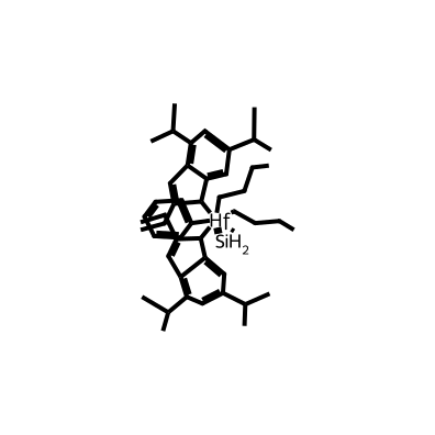 CCC[CH2][Hf]([CH3])(=[SiH2])([CH2]CCC)([c]1ccccc1)([CH]1C(CC)=Cc2c(C(C)C)cc(C(C)C)cc21)[CH]1C(CC)=Cc2c(C(C)C)cc(C(C)C)cc21